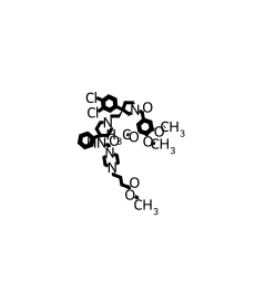 CCOC(=O)CCCN1CCN(C(=O)NC2(c3ccccc3)CCN(CC[C@@]3(c4ccc(Cl)c(Cl)c4)CCN(C(=O)c4cc(OC)c(OC)c(OC)c4)C3)CC2)CC1